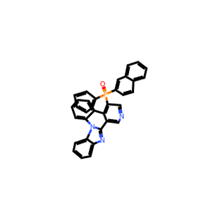 O=P(c1ccccc1)(c1ccc2ccccc2c1)c1cncc2c1c1ccccc1n1c3ccccc3nc21